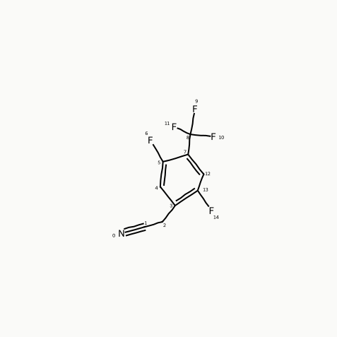 N#CCc1cc(F)c(C(F)(F)F)cc1F